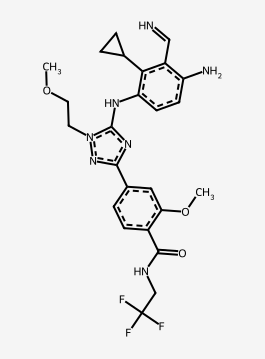 COCCn1nc(-c2ccc(C(=O)NCC(F)(F)F)c(OC)c2)nc1Nc1ccc(N)c(C=N)c1C1CC1